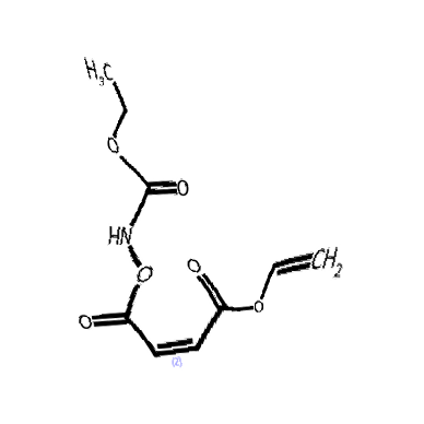 C=COC(=O)/C=C\C(=O)ONC(=O)OCC